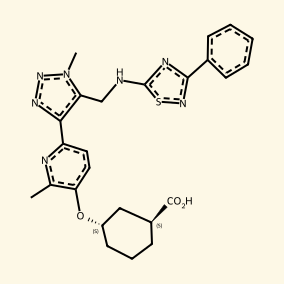 Cc1nc(-c2nnn(C)c2CNc2nc(-c3ccccc3)ns2)ccc1O[C@H]1CCC[C@H](C(=O)O)C1